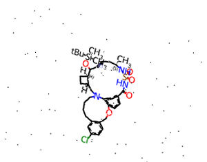 C[C@H]1C/C=C/C(O[Si](C)(C)C(C)(C)C)[C@@H]2CC[C@H]2CN2CCCCc3cc(Cl)ccc3COc3ccc(cc32)C(=O)NS(=O)(=O)N1